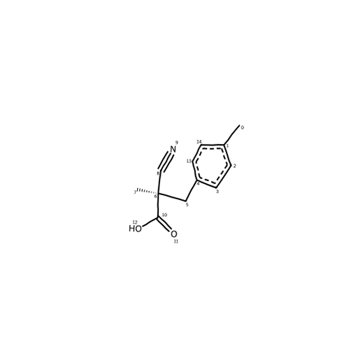 Cc1ccc(C[C@](C)(C#N)C(=O)O)cc1